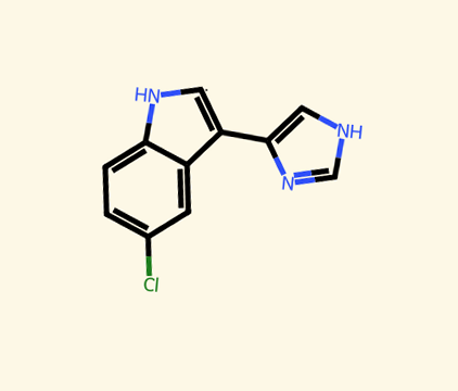 Clc1ccc2[nH][c]c(-c3c[nH]cn3)c2c1